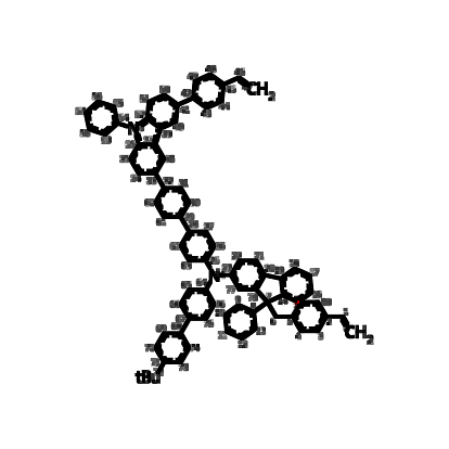 C=Cc1ccc(CC2(c3ccccc3)c3ccccc3-c3ccc(N(c4ccc(-c5ccc(-c6ccc7c(c6)c6cc(-c8ccc(C=C)cc8)ccc6n7-c6ccccc6)cc5)cc4)c4ccc(-c5ccc(C(C)(C)C)cc5)cc4)cc32)cc1